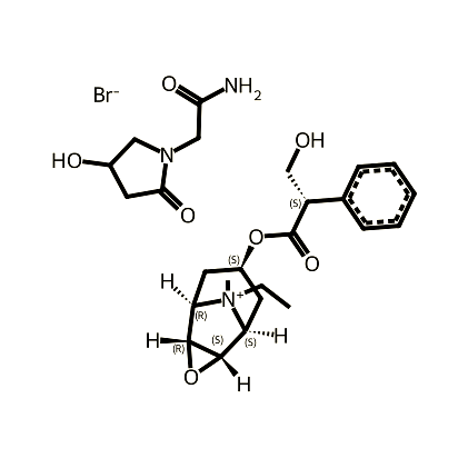 CC[N+]1(C)[C@@H]2C[C@@H](OC(=O)[C@H](CO)c3ccccc3)C[C@H]1[C@@H]1O[C@@H]12.NC(=O)CN1CC(O)CC1=O.[Br-]